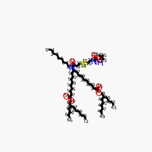 CCCCCCCCCN(C(=O)CCSSCCNC(=O)OC(C)(C)C)C(CCCCCCCCC(=O)OCC(CCCC)CCCCCC)CCCCCCCCC(=O)OCC(CCCC)CCCCCC